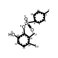 Cc1ccc(S(=O)(=O)Oc2c(O)ccc(I)c2C)cc1